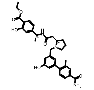 CCOC(=O)c1ccc([C@H](C)NC(=O)C[C@H]2CCCN2Cc2cc(O)cc(-c3ccc(C(N)=O)cc3C)c2)cc1O